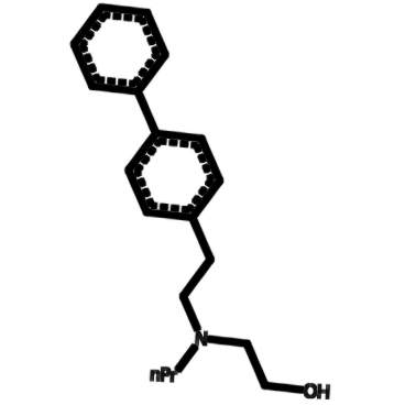 CCCN(CCO)CCc1ccc(-c2ccccc2)cc1